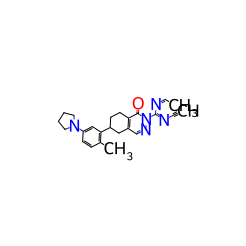 C#C/N=C(\N=C/C)n1ncc2c(c1=O)CCC(c1cc(N3CCCC3)ccc1C)C2